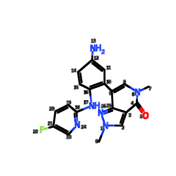 Cn1cc2c(=O)n(C)cc(-c3cc(N)ccc3Nc3ccc(F)cn3)c2n1